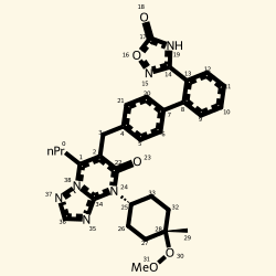 CCCc1c(Cc2ccc(-c3ccccc3-c3noc(=O)[nH]3)cc2)c(=O)n([C@H]2CC[C@@](C)(OOC)CC2)c2ncnn12